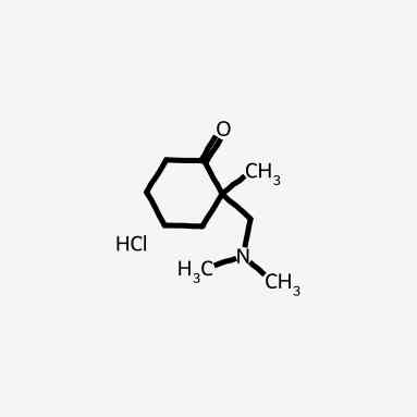 CN(C)CC1(C)CCCCC1=O.Cl